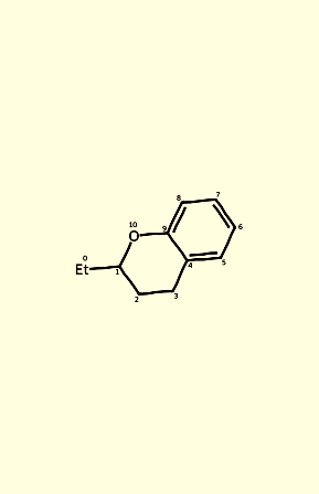 CCC1CCc2ccccc2O1